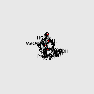 CN[C@H](CC(C)C)C(=O)N[C@H]1C(=O)N[C@@H](CC(=O)NC(=O)c2ccc(OCCOC)cc2)C(=O)N[C@H]2C(=O)N[C@H]3C(=O)N[C@H](C(=O)N[C@H](C(=O)NC4C5CC6CC(C5)CC4C6)c4cc(O)cc(O)c4-c4cc3ccc4O)[C@H](O)c3ccc(c(Cl)c3)Oc3cc2cc(c3O[C@@H]2O[C@H](CO)[C@@H](O)[C@H](O)[C@H]2O[C@H]2C[C@](C)(N)[C@H](O)[C@H](C)O2)Oc2ccc(cc2Cl)[C@H]1O